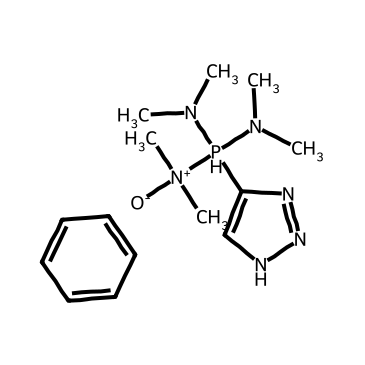 CN(C)[PH](c1c[nH]nn1)(N(C)C)[N+](C)(C)[O-].c1ccccc1